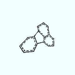 [c]1ccc2c(c1)-c1cc[c]c3cccc-2c13